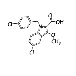 COc1c(C(=O)O)n(Cc2ccc(Cl)cc2)c2ccc(Cl)cc12